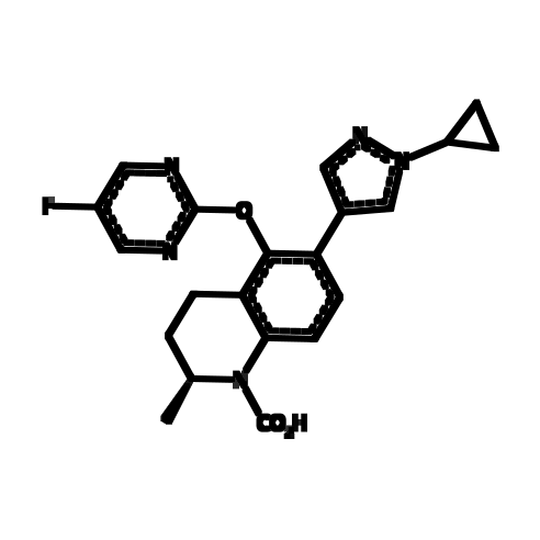 C[C@H]1CCc2c(ccc(-c3cnn(C4CC4)c3)c2Oc2ncc(F)cn2)N1C(=O)O